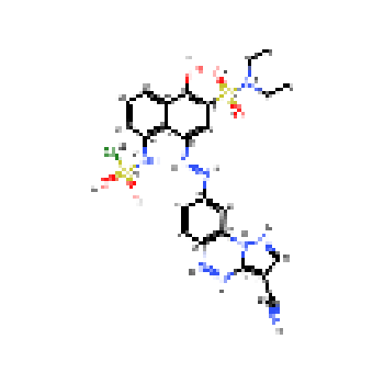 CCN(CC)S(=O)(=O)c1cc(/N=N/c2ccc3nnc4c(C#N)cnn4c3c2)c2c(NS(=O)(=O)Cl)cccc2c1O